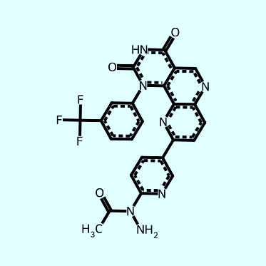 CC(=O)N(N)c1ccc(-c2ccc3ncc4c(=O)[nH]c(=O)n(-c5cccc(C(F)(F)F)c5)c4c3n2)cn1